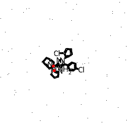 NC(=O)C1(N2CCCC2)CC2CCC(C1)N2c1ncnc2c(-c3ccc(Cl)cc3)n(-c3ccccc3Cl)nc12